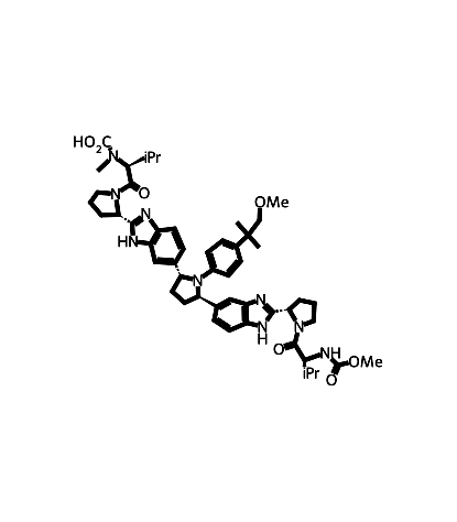 COCC(C)(C)c1ccc(N2[C@@H](c3ccc4[nH]c([C@@H]5CCCN5C(=O)[C@@H](NC(=O)OC)C(C)C)nc4c3)CC[C@@H]2c2ccc3nc([C@@H]4CCCN4C(=O)[C@H](C(C)C)N(C)C(=O)O)[nH]c3c2)cc1